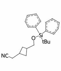 CC(C)(C)[Si](OCC1CC(CC#N)C1)(c1ccccc1)c1ccccc1